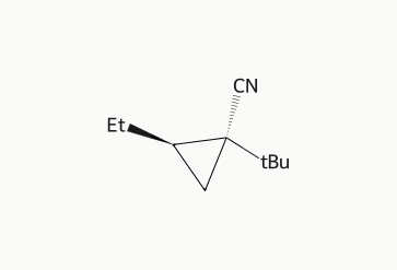 CC[C@@H]1C[C@]1(C#N)C(C)(C)C